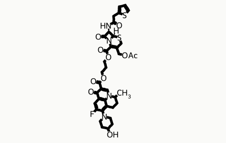 CC(=O)OCC1=C(C(=O)OCCCOC(=O)c2cn3c4c(c(N5CCC(O)CC5)c(F)cc4c2=O)CCC3C)N2C(=O)[C@@H](NC(=O)Cc3cccs3)[C@H]2SC1